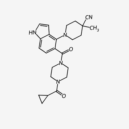 CC1(C#N)CCN(c2c(C(=O)N3CCN(C(=O)C4CC4)CC3)ccc3[nH]ccc23)CC1